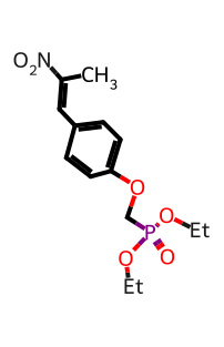 CCOP(=O)(COc1ccc(C=C(C)[N+](=O)[O-])cc1)OCC